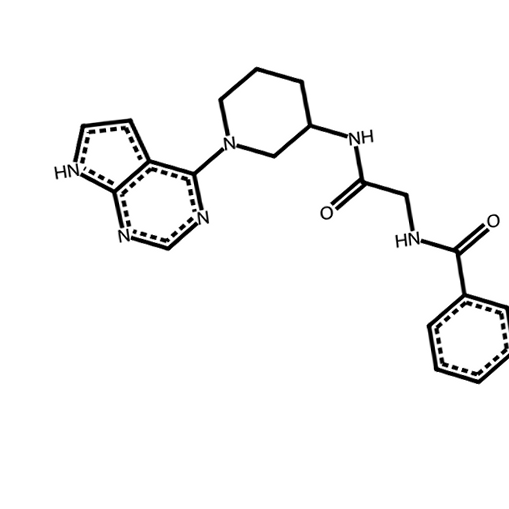 O=C(CNC(=O)c1ccccc1)NC1CCCN(c2ncnc3[nH]ccc23)C1